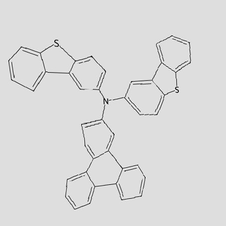 c1ccc2c(c1)sc1ccc(N(c3ccc4sc5ccccc5c4c3)c3ccc4c5ccccc5c5ccccc5c4c3)cc12